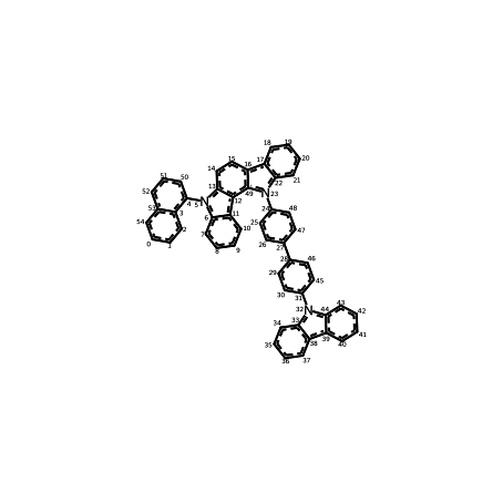 c1ccc2c(-n3c4ccccc4c4c3ccc3c5ccccc5n(-c5ccc(-c6ccc(-n7c8ccccc8c8ccccc87)cc6)cc5)c34)cccc2c1